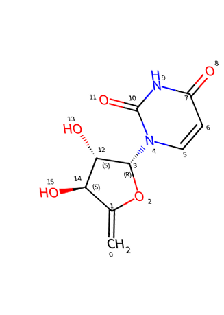 C=C1O[C@@H](n2ccc(=O)[nH]c2=O)[C@@H](O)[C@@H]1O